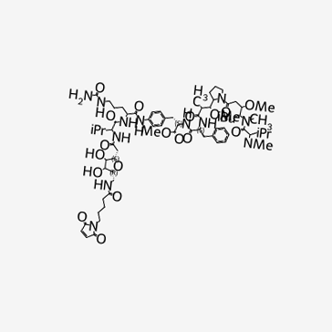 CCC(C)C(C(CC(=O)N1CCCC1C(OC)C(C)C(=O)N[C@@H](Cc1ccccc1)C(=O)N[C@@H](Cc1ccc(NC(=O)C(CCCNC(N)=O)NC(=O)C(NC(=O)C[C@@H]2O[C@H](CNC(=O)CCCCN3C(=O)C=CC3=O)C(O)C2O)C(C)C)cc1)C(=O)OC)OC)N(C)C(=O)C(NC)C(C)C